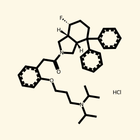 CC(C)N(CCCOc1ccccc1CC(=O)N1C[C@@H]2[C@H](F)CCC(c3ccccc3)(c3ccccc3)[C@@H]2C1)C(C)C.Cl